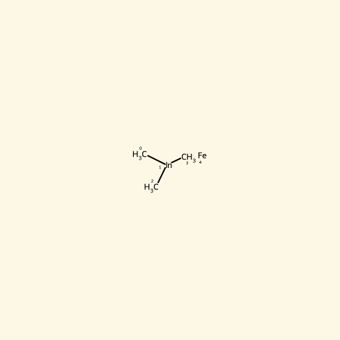 [CH3][In]([CH3])[CH3].[Fe]